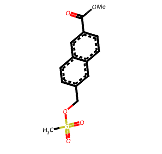 COC(=O)c1ccc2cc(COS(C)(=O)=O)ccc2c1